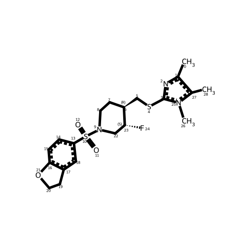 Cc1nc(SC[C@@H]2CCN(S(=O)(=O)c3ccc4c(c3)CCO4)C[C@H]2F)n(C)c1C